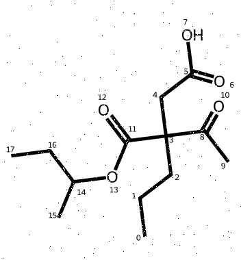 CCCC(CC(=O)O)(C(C)=O)C(=O)OC(C)CC